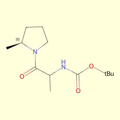 CC(NC(=O)OC(C)(C)C)C(=O)N1CCC[C@@H]1C